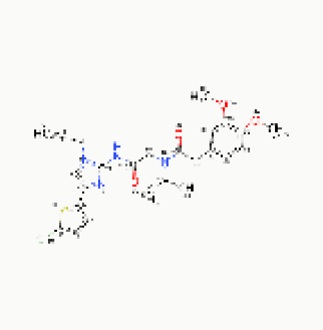 C#CCn1cc(-c2ccc(Cl)s2)nc1NC(=O)CN(C(=O)Cc1ccc(OC)c(OC)c1)C(C)C